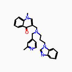 Cc1cc(CN(CCCn2cnc3ccccc32)Cc2cn(C)c3ccccc3c2=O)ccn1